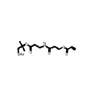 C=CC(=O)OCCC(=O)NCCC(=O)OC(C)(C)CSC